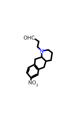 O=CCCN1CCCC2Cc3cc([N+](=O)[O-])ccc3CC21